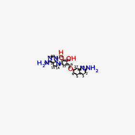 Nc1ccc2ccc(OC[C@H]3C[C@@H](n4ccc5c(N)ncnc54)[C@H](O)[C@@H]3O)cc2n1